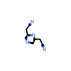 N#CCc1cncc(CC#N)n1